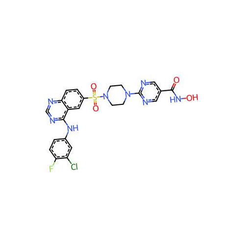 O=C(NO)c1cnc(N2CCN(S(=O)(=O)c3ccc4ncnc(Nc5ccc(F)c(Cl)c5)c4c3)CC2)nc1